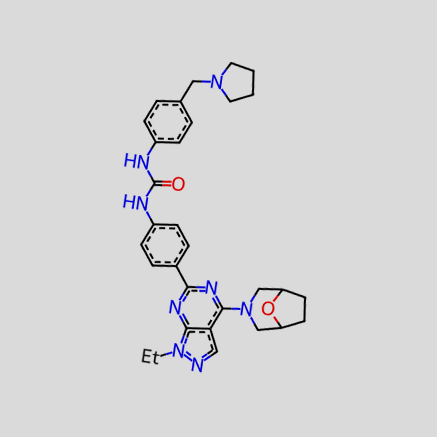 CCn1ncc2c(N3CC4CCC(C3)O4)nc(-c3ccc(NC(=O)Nc4ccc(CN5CCCC5)cc4)cc3)nc21